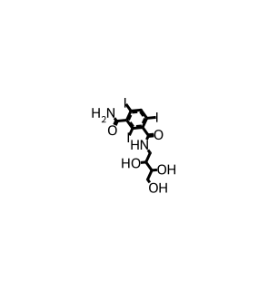 NC(=O)c1c(I)cc(I)c(C(=O)NCC(O)C(O)CO)c1I